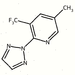 Cc1cnc(-n2nccn2)c(C(F)(F)F)c1